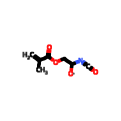 C=C(C)C(=O)OCC([O])N=C=O